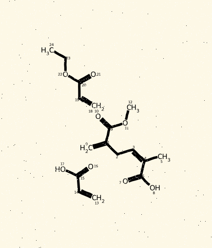 C=C(CC=C(C)C(=O)O)C(=O)OC.C=CC(=O)O.C=CC(=O)OCC